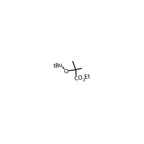 CCOC(=O)C(C)(C)OC(C)(C)C